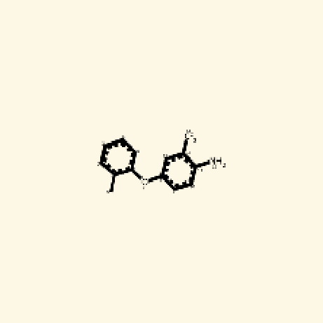 Cc1ccccc1Oc1ccc(N)c(C(F)(F)F)c1